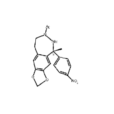 CC(=O)N1CCc2cc3c(cc2[C@@](C)(c2ccc([N+](=O)[O-])cc2)N1)OCO3